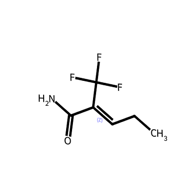 CC/C=C(/C(N)=O)C(F)(F)F